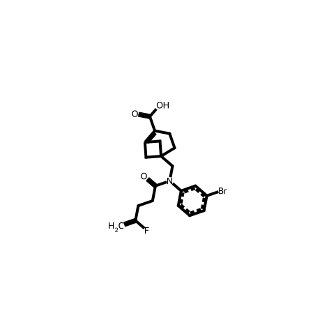 C=C(F)CCC(=O)N(CC12CCC(C(=O)O)=C(C1)C2)c1cccc(Br)c1